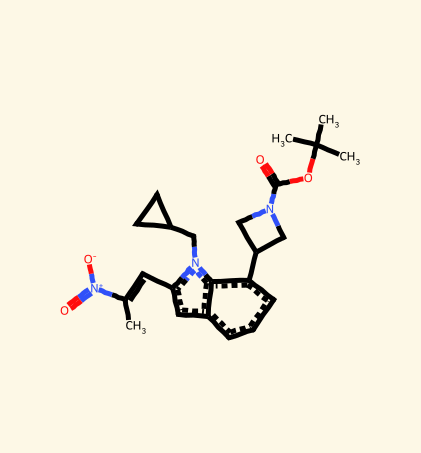 C/C(=C\c1cc2cccc(C3CN(C(=O)OC(C)(C)C)C3)c2n1CC1CC1)[N+](=O)[O-]